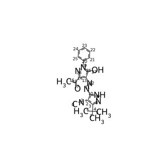 [C-]#[N+]c1c(C(C)(C)C)n[nH]c1/N=N/c1c(C(C)=O)nn(-c2ccccc2)c1O